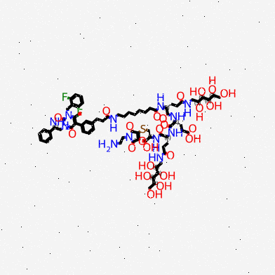 Cc1c(-c2cccc(CCC(=O)NCCCCCCCC(=O)N[C@H](CCC(=O)NC[C@H](O)[C@@H](O)[C@H](O)[C@H](O)CO)C(=O)N[C@H](CCC(=O)O)C(=O)N[C@H](CCC(=O)NC[C@H](O)[C@@H](O)[C@H](O)[C@H](O)CO)C(=O)N[C@H](CSC3=CC(=O)N(CCN)C3=O)C(=O)O)c2)c(=O)n(C[C@@H](N)c2ccccc2)c(=O)n1Cc1c(F)cccc1F